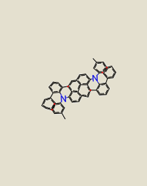 Cc1cccc(N(c2c(C)cccc2-c2ccccc2)c2ccc3ccc4c(N(c5cccc(C)c5)c5c(C)cccc5-c5ccccc5)ccc5ccc2c3c54)c1